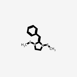 CSN1CCN(SC)C1=Cc1ccccc1